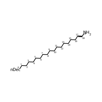 CCCCCCCCCCCCCCCCCCCCCCCCCC/C=C/N